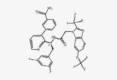 NC(=O)c1cccc(-c2cccnc2[C@H](Cc2cc(F)cc(F)c2)NC(=O)Cn2c(C(F)(F)F)nc3ccc(OC(F)(F)F)cc32)c1